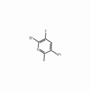 Cc1nc(Br)c(F)cc1C(C)C